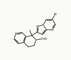 CC1(c2cc3ncc(Br)cn3n2)c2cnccc2CCN1C=O